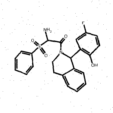 NC(C(=O)N1CCc2ccccc2C1c1cc(F)ccc1O)S(=O)(=O)c1ccccc1